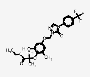 CCOC(=O)C(C)(C)Oc1c(C)cc(OCn2ncn(-c3ccc(C(F)(F)F)cc3)c2=O)cc1C